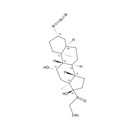 CC(=O)OCC(=O)[C@@]1(O)CC[C@H]2[C@@H]3CC[C@@H]4C[C@@H](N=[N+]=[N-])CC[C@]4(C)[C@H]3[C@@H](O)C[C@@]21C